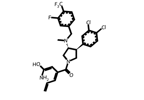 C=C/C=C(\C=C(/N)O)C(=O)N1C[C@H](c2ccc(Cl)c(Cl)c2)[C@@H](N(C)Cc2ccc(C(F)(F)F)c(F)c2)C1